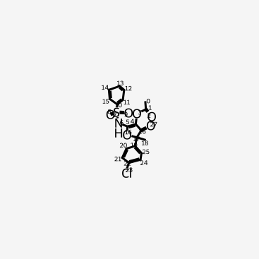 CC(=O)OC1=C(NS(=O)(=O)c2ccccc2)OC(C)(c2ccc(Cl)cc2)C1=O